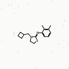 Cc1cccc(N=C2SCCN2CC2CCC2)c1C